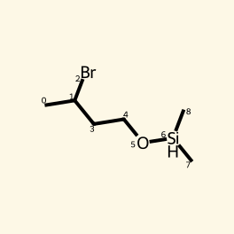 CC(Br)CCO[SiH](C)C